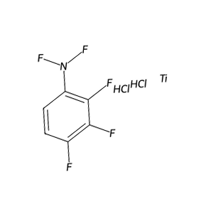 Cl.Cl.Fc1ccc(N(F)F)c(F)c1F.[Ti]